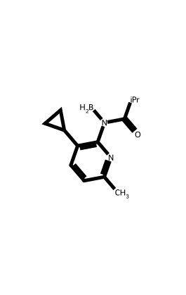 BN(C(=O)C(C)C)c1nc(C)ccc1C1CC1